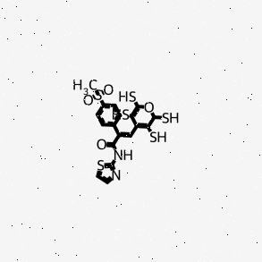 CS(=O)(=O)c1ccc(/C(=C\C2=C(S)C(S)OC(S)=C2S)C(=O)Nc2nccs2)cc1